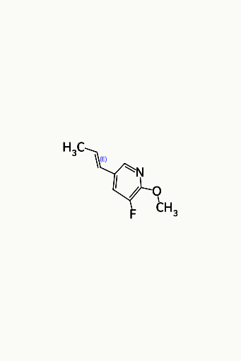 C/C=C/c1cnc(OC)c(F)c1